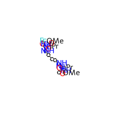 CCCN(Cc1ncc(-c2ccc3cc(-c4ccc(-c5cnc([C@@H]6C[C@H](OC(F)F)CN6C(=O)[C@@H](NC(=O)OC)C(C)C)[nH]5)cc4)ccc3c2)[nH]1)C(=O)C(NC(=O)OC)c1ccccc1